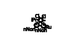 CCCCCCCCCc1ccnc(-c2cc(CCCCCCCCC)ccn2)c1.Cc1ccc(C(C)C)c(Cl)c1Cl.[Ru]